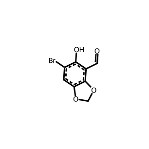 O=Cc1c(O)c(Br)cc2c1OCO2